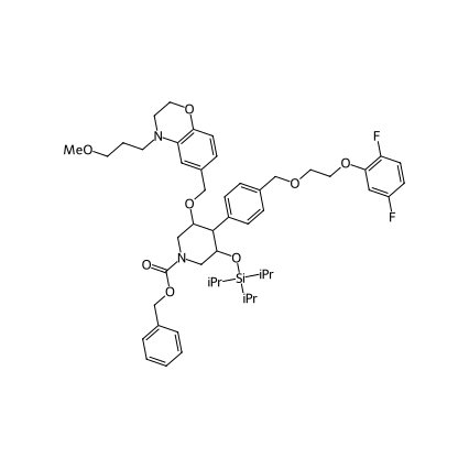 COCCCN1CCOc2ccc(COC3CN(C(=O)OCc4ccccc4)CC(O[Si](C(C)C)(C(C)C)C(C)C)C3c3ccc(COCCOc4cc(F)ccc4F)cc3)cc21